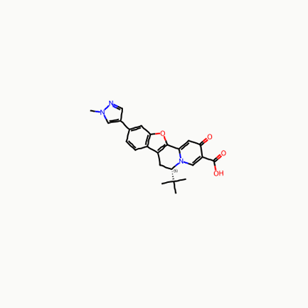 Cn1cc(-c2ccc3c4c(oc3c2)-c2cc(=O)c(C(=O)O)cn2[C@H](C(C)(C)C)C4)cn1